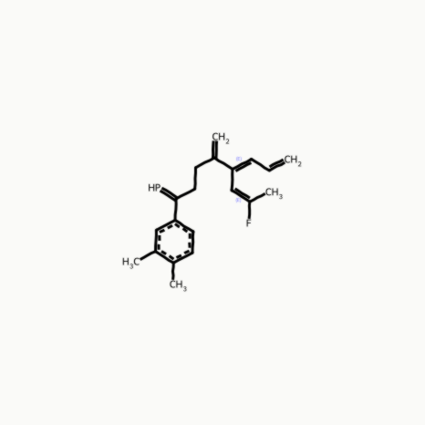 C=C/C=C(\C=C(/C)F)C(=C)CCC(=P)c1ccc(C)c(C)c1